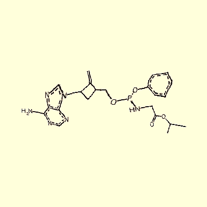 C=C1C(COP(NCC(=O)OC(C)C)Oc2ccccc2)CC1n1cnc2c(N)ncnc21